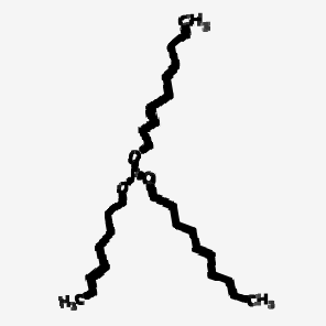 CCCCCCCCCCOP(OCCCCCCCC)OCCCCCCCCCC